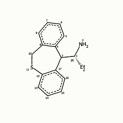 CC[C@@H](N)C1c2ccccc2CSc2ccccc21